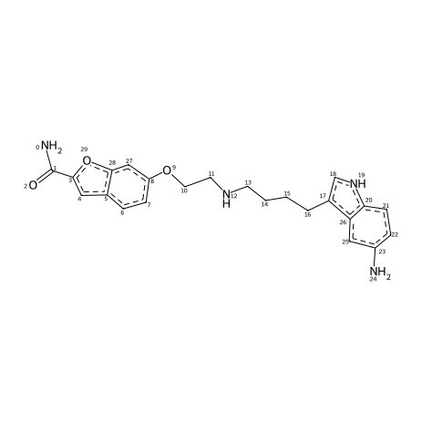 NC(=O)c1cc2ccc(OCCNCCCCc3c[nH]c4ccc(N)cc34)cc2o1